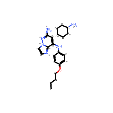 CCCCOc1ccc(Nc2c3nccn3nc(N)c2[C@H]2CC[C@H](N)CC2)cc1